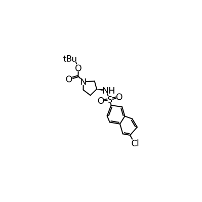 CC(C)(C)OC(=O)N1CC[C@H](NS(=O)(=O)c2ccc3cc(Cl)ccc3c2)C1